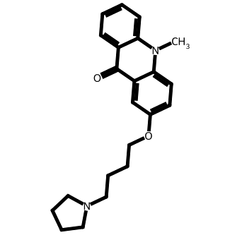 Cn1c2ccccc2c(=O)c2cc(OCCCCN3CCCC3)ccc21